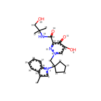 Cc1cn(C2(Cn3cc(O)c(=O)c(C(=O)NC(C)(C)CO)n3)CCCC2)c2ccccc12